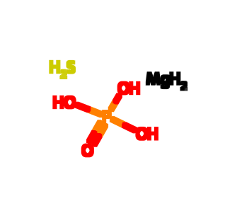 O=P(O)(O)O.S.[MgH2]